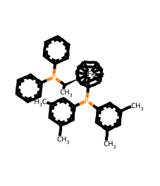 Cc1cc(C)cc(P(c2cc(C)cc(C)c2)[C]23[CH]4[CH]5[CH]6[C@]2(C(C)P(c2ccccc2)c2ccccc2)[Fe]54632789[CH]3[CH]2[CH]7[CH]8[CH]39)c1